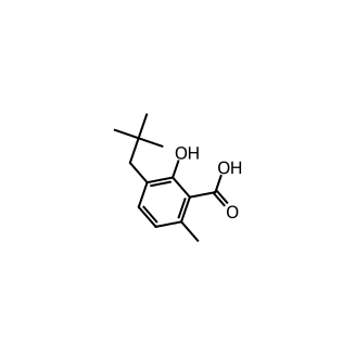 Cc1ccc(CC(C)(C)C)c(O)c1C(=O)O